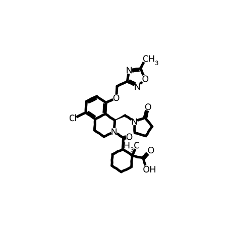 Cc1nc(COc2ccc(Cl)c3c2[C@@H](CN2CCCC2=O)N(C(=O)C2CCCCC2(C)C(=O)O)CC3)no1